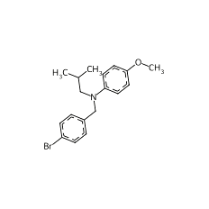 COc1ccc(N(Cc2ccc(Br)cc2)CC(C)C)cc1